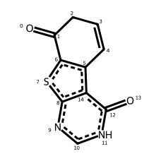 O=C1CC=Cc2c1sc1nc[nH]c(=O)c21